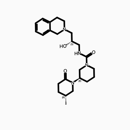 C[C@@H]1CCC(=O)N([C@@H]2CCCN(C(=O)NC[C@H](O)CN3CCc4ccccc4C3)C2)C1